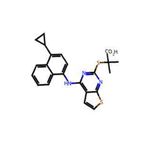 CC(C)(Sc1nc(Nc2ccc(C3CC3)c3ccccc23)c2ccsc2n1)C(=O)O